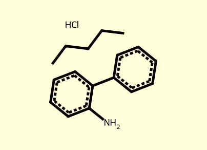 CCCCC.Cl.Nc1ccccc1-c1ccccc1